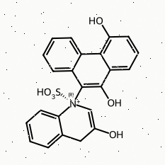 O=S(=O)(O)[N@+]1(c2c(O)c3cccc(O)c3c3ccccc23)C=C(O)Cc2ccccc21